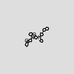 c1ccc(N(c2ccc(-c3ccc4ccccc4c3)cc2)c2ccc3c(c2)Oc2ccccc2N3c2ccc3c(c2)oc2ccccc23)cc1